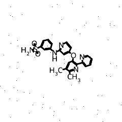 Cc1cc(Oc2ccnc(Nc3cccc(S(N)(=O)=O)c3)c2)c(-c2ccccn2)nc1C